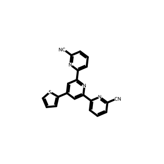 N#Cc1cccc(-c2cc(-c3cccs3)cc(-c3cccc(C#N)n3)n2)n1